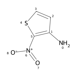 Nc1ccsc1[N+](=O)[O-]